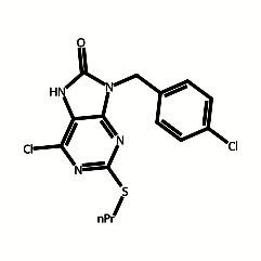 CCCSc1nc(Cl)c2[nH]c(=O)n(Cc3ccc(Cl)cc3)c2n1